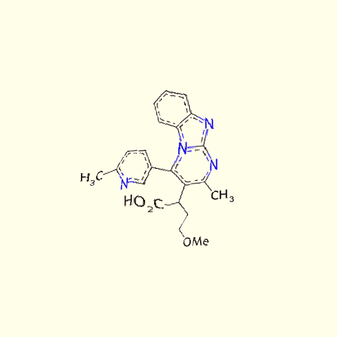 COCCC(C(=O)O)c1c(C)nc2nc3ccccc3n2c1-c1ccc(C)nc1